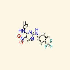 CNc1nc(Nc2ccc(C(F)(F)F)cc2)ncc1[N+](=O)[O-]